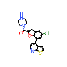 O=C([C@H]1Cc2cc(Cl)cc(-c3ccnc4sccc34)c2O1)N1CCNCC1